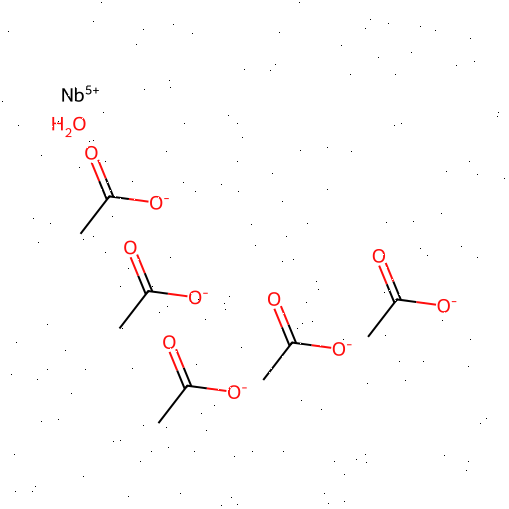 CC(=O)[O-].CC(=O)[O-].CC(=O)[O-].CC(=O)[O-].CC(=O)[O-].O.[Nb+5]